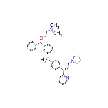 CN(C)CCOC(c1ccccc1)c1ccccc1.Cc1ccc(/C(=C\CN2CCCC2)c2ccccn2)cc1